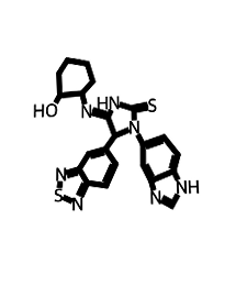 OC1CCCCC1N=C1NC(=S)N(c2ccc3[nH]cnc3c2)C1c1ccc2nsnc2c1